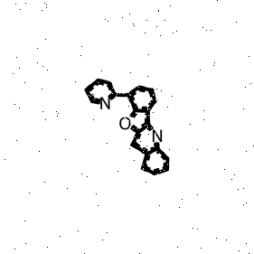 c1ccc(-c2cccc3c2oc2cc4ccccc4nc23)nc1